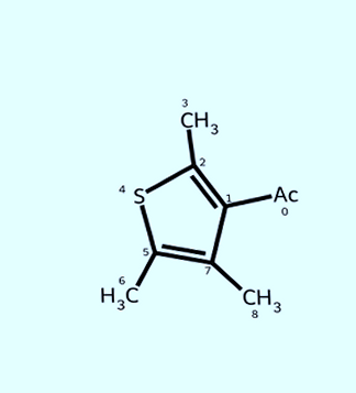 CC(=O)c1c(C)sc(C)c1C